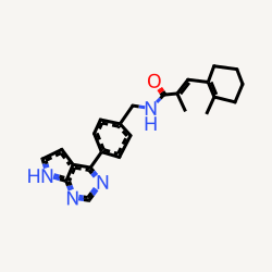 CC1=C(/C=C(\C)C(=O)NCc2ccc(-c3ncnc4[nH]ccc34)cc2)CCCC1